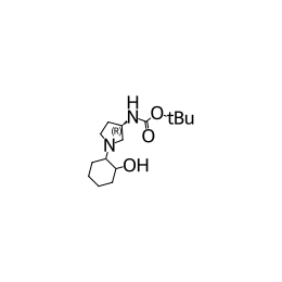 CC(C)(C)OC(=O)N[C@@H]1CCN(C2CCCCC2O)C1